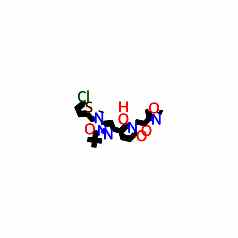 CN(Cc1ccc(Cl)s1)c1cc(-c2ccc(=O)n(CC(=O)c3cocn3)c2O)nn1C(=O)C(C)(C)C